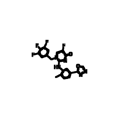 Cc1ccc(-c2nnco2)cc1Nc1nc(=O)c(F)cn1Cc1cc(F)c(F)c(F)c1